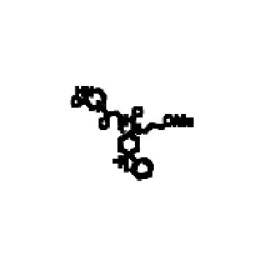 COCCCN1C(=O)N(CC(=O)N2CCNC(=O)C2)C[C@]12CC[C@](c1ccccc1)(N(C)C)CC2